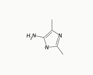 CC1=NC(C)=C(N)[N]1